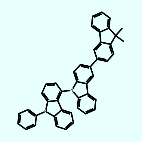 CC1(C)c2ccccc2-c2cc(-c3ccc4c(c3)c3ccccc3n4-c3cccc4c3c3ccccc3n4-c3ccccc3)ccc21